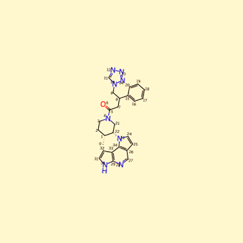 C[C@@H]1CCN(C(=O)CC(Cn2cnnn2)c2ccccc2)C[C@@H]1n1ccc2cnc3[nH]ccc3c21